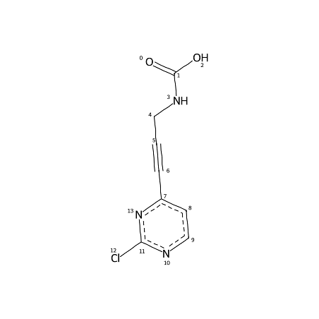 O=C(O)NCC#Cc1ccnc(Cl)n1